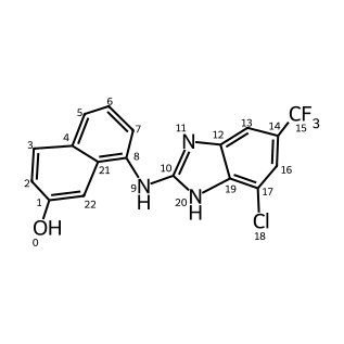 Oc1ccc2cccc(Nc3nc4cc(C(F)(F)F)cc(Cl)c4[nH]3)c2c1